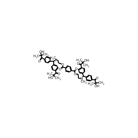 CN(CCOC(=O)c1ccc(C(=O)OCCN(C)C(c2ccc(C(=O)C(C)(C)O)cc2)c2ccc(C(=O)C(C)(C)O)cc2)cc1)C(c1ccc(C(=O)C(C)(C)O)cc1)c1ccc(C(=O)C(C)(C)O)cc1